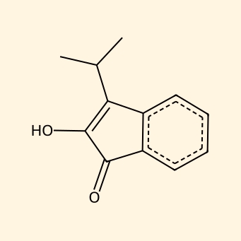 CC(C)C1=C(O)C(=O)c2ccccc21